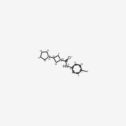 Cc1ccc(NC(=O)N2CC(N3CCCC3)C2)cc1